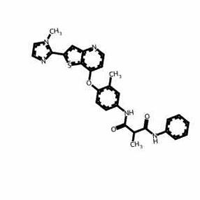 Cc1cc(NC(=O)C(C)C(=O)Nc2ccccc2)ccc1Oc1ccnc2cc(-c3nccn3C)sc12